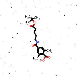 Cc1cc(C(=O)NCCCCC(=O)OC(C)(C)C)cc(C)c1C(=O)O